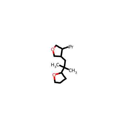 CC(C)C1COCC1CC(C)(C)C1CCCO1